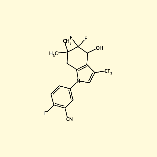 CC1(C)Cc2c(c(C(F)(F)F)cn2-c2ccc(F)c(C#N)c2)C(O)C1(F)F